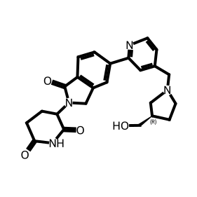 O=C1CCC(N2Cc3cc(-c4cc(CN5CC[C@@H](CO)C5)ccn4)ccc3C2=O)C(=O)N1